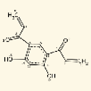 C=CC(=O)c1cc(C(=O)C=C)c(O)cc1O